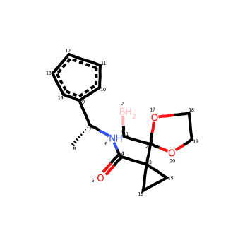 BCC1(C2(C(=O)N[C@H](C)c3ccccc3)CC2)OCCO1